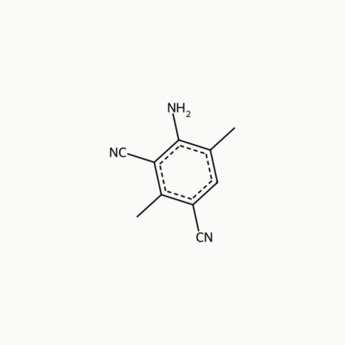 Cc1cc(C#N)c(C)c(C#N)c1N